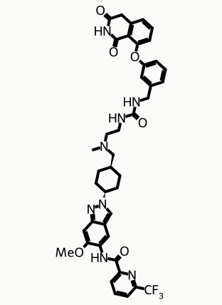 COc1cc2nn([C@H]3CC[C@H](CN(C)CCNC(=O)NCc4cccc(Oc5cccc6c5C(=O)NC(=O)C6)c4)CC3)cc2cc1NC(=O)c1cccc(C(F)(F)F)n1